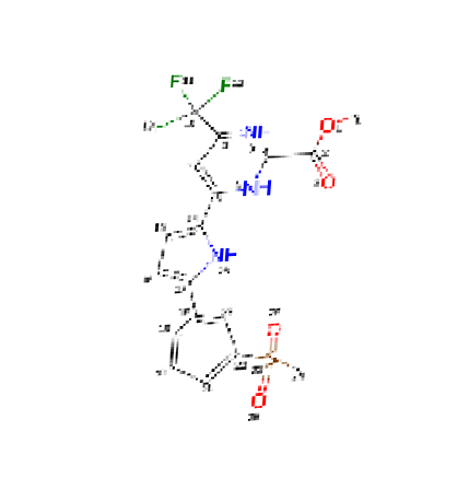 COC(=O)CN/C(=C\C(=N)C(F)(F)F)c1ccc(-c2cccc(S(C)(=O)=O)c2)[nH]1